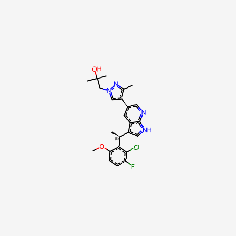 COc1ccc(F)c(Cl)c1[C@@H](C)c1c[nH]c2ncc(-c3cn(CC(C)(C)O)nc3C)cc12